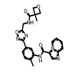 Cc1ccc(-c2noc(CNC(=O)C3(C)COC3)n2)cc1NC(=O)c1cnc2ccccn12